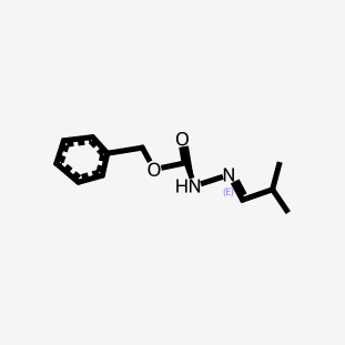 CC(C)/C=N/NC(=O)OCc1ccccc1